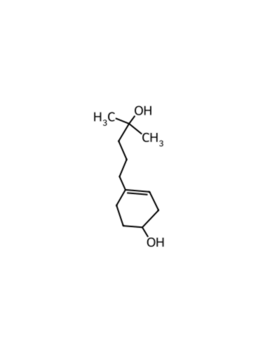 CC(C)(O)CCCC1=CCC(O)CC1